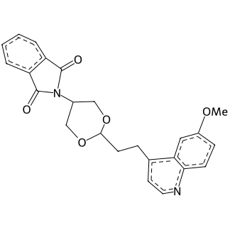 COc1ccc2nccc(CCC3OCC(N4C(=O)c5ccccc5C4=O)CO3)c2c1